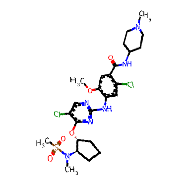 COc1cc(C(=O)NC2CCN(C)CC2)c(Cl)cc1Nc1ncc(Cl)c(O[C@@H]2CCC[C@H]2N(C)S(C)(=O)=O)n1